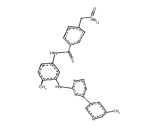 Cc1cncc(-c2ccnc(Nc3cc(NC(=O)c4ccc(C[SH](=O)=O)cc4)ccc3C)n2)c1